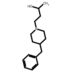 CC(O)CCN1CCC(Cc2ccccc2)CC1